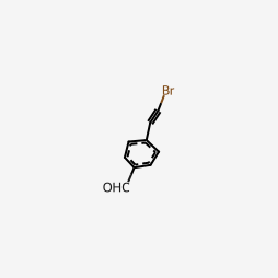 O=Cc1ccc(C#CBr)cc1